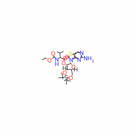 CCOC(=O)N[C@H](C(=O)O[C@@H]1[C@H]2O[Si](C(C)(C)C)(C(C)(C)C)OC[C@H]2O[C@H]1n1c(=O)sc2cnc(N)nc21)C(C)C